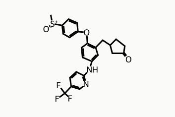 C[S+]([O-])c1ccc(Oc2ccc(Nc3ccc(C(F)(F)F)cn3)cc2CC2CCC(=O)C2)cc1